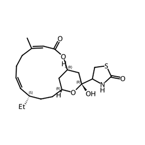 CC[C@@H]1C=CCCC(C)=CC(=O)O[C@@H]2C[C@@H](CC1)O[C@@](O)(C1CSC(=O)N1)C2